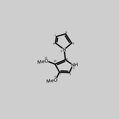 COc1c[nH]c(-n2cccc2)c1OC